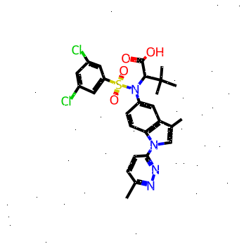 Cc1ccc(-n2cc(C)c3cc(N(C(C(=O)O)C(C)(C)C)S(=O)(=O)c4cc(Cl)cc(Cl)c4)ccc32)nn1